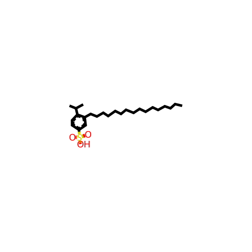 CCCCCCCCCCCCCCCCc1cc(S(=O)(=O)O)ccc1C(C)C